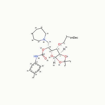 CCCCCCCCCCCCO[C@@H]1[C@H]2OC(C)(C)O[C@H]2O[C@@H]1[C@@H](CN1CCCCCC1)OC(=O)Nc1ccc(C)cc1